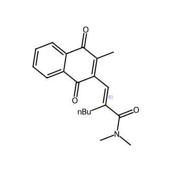 CCCC/C(=C\C1=C(C)C(=O)c2ccccc2C1=O)C(=O)N(C)C